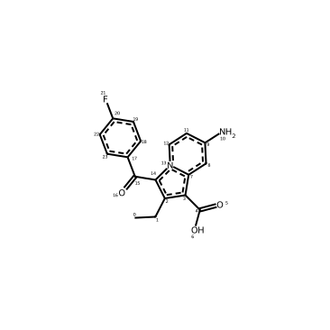 CCc1c(C(=O)O)c2cc(N)ccn2c1C(=O)c1ccc(F)cc1